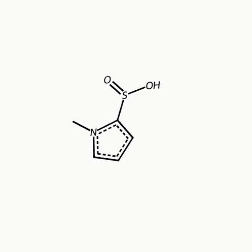 Cn1cccc1S(=O)O